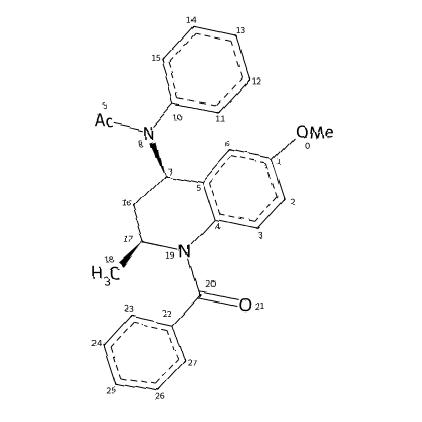 COc1ccc2c(c1)[C@H](N(C(C)=O)c1ccccc1)C[C@H](C)N2C(=O)c1ccccc1